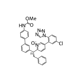 COC(=O)Nc1ccc(-c2cccc([C@H](Cc3ccccc3)c3ccc(-c4cc(Cl)ccc4-n4cnnn4)c[n+]3[O-])c2)cc1